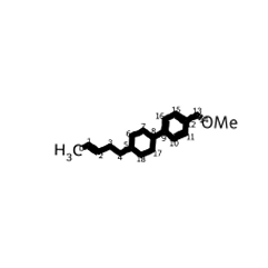 CC=CCCC1CCC(c2ccc(COC)cc2)CC1